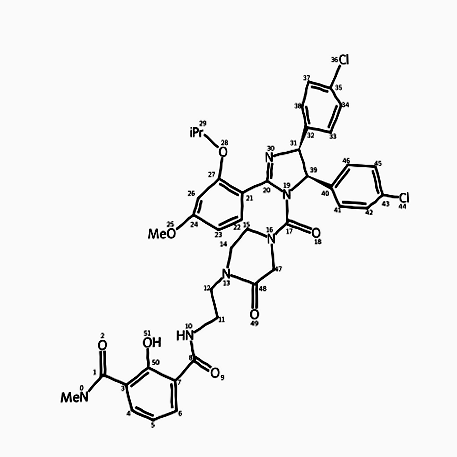 CNC(=O)c1cccc(C(=O)NCCN2CCN(C(=O)N3C(c4ccc(OC)cc4OC(C)C)=N[C@@H](c4ccc(Cl)cc4)[C@H]3c3ccc(Cl)cc3)CC2=O)c1O